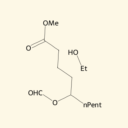 CCCCCC(CCCC(=O)OC)OC=O.CCO